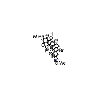 CO/N=C/c1cc2c(Br)c3c(c(O)c2c(=O)[nH]1)C1(CC3)C(=O)c2c(O)c3c(c(O)c2C1=O)C(=O)C(OC)=CC3=O